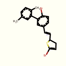 Cc1ccc(C)c(-c2cc(/C=C/C3CC=C(Br)S3)ccc2Br)c1